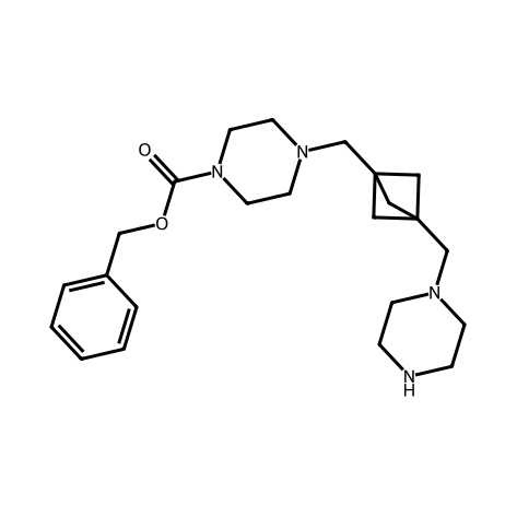 O=C(OCc1ccccc1)N1CCN(CC23CC(CN4CCNCC4)(C2)C3)CC1